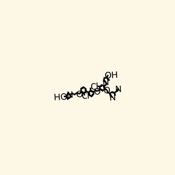 Cc1c(COc2cc(OCc3cncc(C#N)c3)c(CN3CCC(O)C3)cc2Cl)cccc1-c1cccc(OCCCN2CCC(O)C2)c1Cl